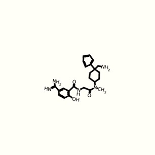 CN(C(=O)CNC(=O)c1cc(C(=N)N)ccc1O)C1CCC(CN)(c2ccccc2)CC1